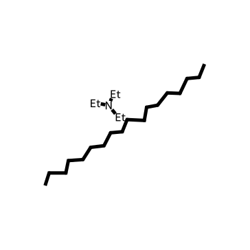 CCCCCCCCCCCCCCCCCC.CCN(CC)CC